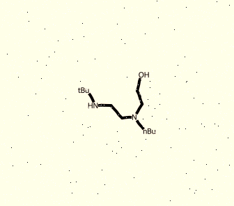 CCCCN(CCO)CCNC(C)(C)C